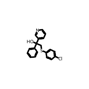 OC(CSc1ccc(Cl)cc1)(c1ccccc1)c1cccnc1